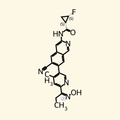 CC/C(=N/O)c1cc(C)c(-c2cc3cnc(NC(=O)[C@@H]4C[C@@H]4F)cc3cc2C#N)cn1